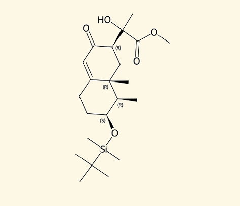 COC(=O)C(C)(O)[C@H]1C[C@@]2(C)C(=CC1=O)CC[C@H](O[Si](C)(C)C(C)(C)C)[C@@H]2C